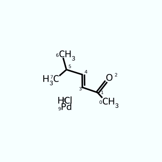 CC(=O)/C=C/C(C)C.Cl.[Pd]